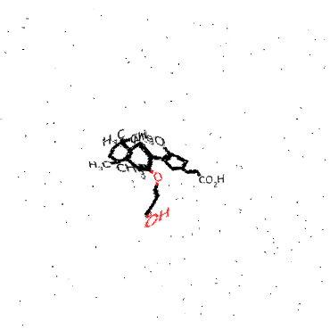 COc1ccc(/C=C/C(=O)O)cc1-c1cc2c(cc1OCCCO)C(C)(C)CCC2(C)C